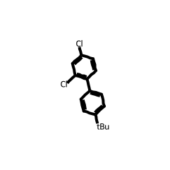 CC(C)(C)c1ccc(-c2ccc(Cl)cc2Cl)cc1